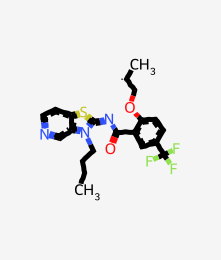 C[CH]COc1ccc(C(F)(F)F)cc1C(=O)N=c1sc2ccncc2n1CCCC